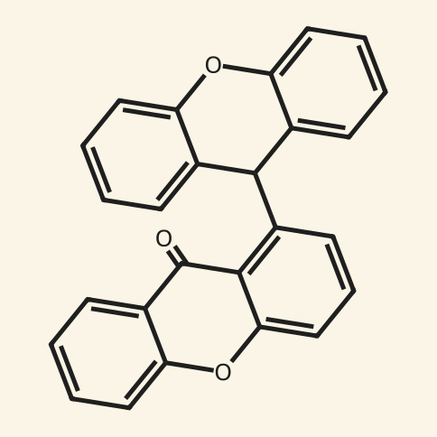 O=c1c2ccccc2oc2cccc(C3c4ccccc4Oc4ccccc43)c12